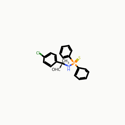 C[C@](C=O)(NP(=S)(c1ccccc1)c1ccccc1)c1ccc(Cl)cc1